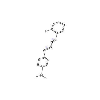 CN(C)c1ccc(/C=N/N=C/c2ccccc2F)cc1